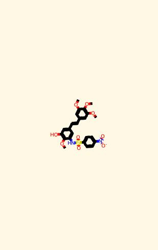 COc1cc(C=Cc2cc(O)c(OC)c(NS(=O)(=O)c3ccc([N+](=O)[O-])cc3)c2)cc(OC)c1OC